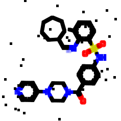 Cc1cccc(S(=O)(=O)Nc2ccc(C(=O)N3CCN(c4ccncc4)CC3)cc2)c1/N=C\C1CCCCCC1